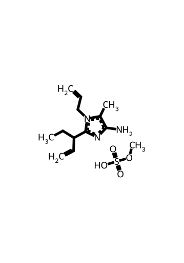 C=CCn1c(C(C=C)CC)nc(N)c1C.COS(=O)(=O)O